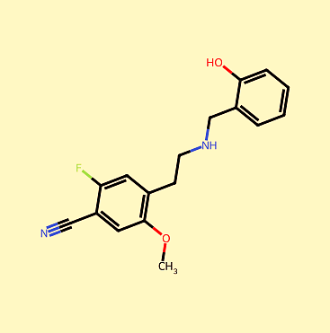 COc1cc(C#N)c(F)cc1CCNCc1ccccc1O